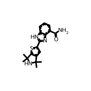 CC1(C)NC(C)(C)c2sc(-c3nc4c(C(N)=O)cccc4[nH]3)cc21